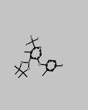 Cc1cc(F)ccc1Oc1cnc(C(F)(F)F)c(C)c1B1OC(C)(C)C(C)(C)O1